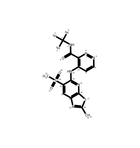 [2H]C([2H])([2H])NC(=O)c1nnccc1Nc1nc2sc(C)nc2cc1S(C)(=O)=O